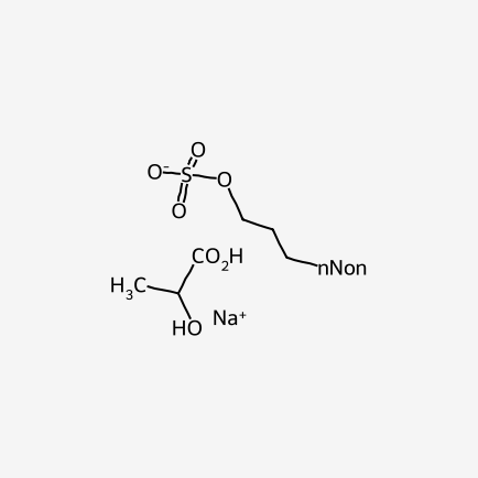 CC(O)C(=O)O.CCCCCCCCCCCCOS(=O)(=O)[O-].[Na+]